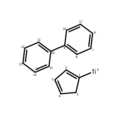 [Ti][C]1=CC=CC1.c1ccc(-c2ccccc2)cc1